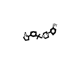 CC(C)c1cccc(N2CCN(CC(C)(C)c3cccc(C4CCCN4C)c3)CC2)c1